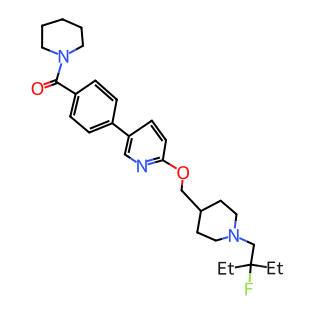 CCC(F)(CC)CN1CCC(COc2ccc(-c3ccc(C(=O)N4CCCCC4)cc3)cn2)CC1